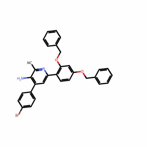 N#Cc1nc(-c2ccc(OCc3ccccc3)cc2OCc2ccccc2)cc(-c2ccc(Br)cc2)c1N